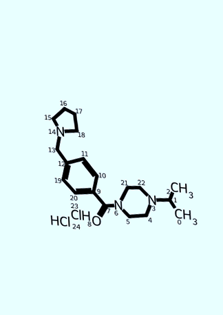 CC(C)N1CCN(C(=O)c2ccc(CN3CCCC3)cc2)CC1.Cl.Cl